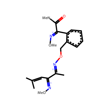 CNC(=O)/C(=N/OC)c1ccccc1CO/N=C(C)/C(C=C(C)C)=N/OC